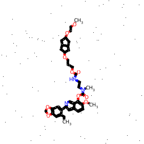 CCc1cc2c(cc1-c1cc3ccc(OC)c(OC(=O)N(C)CCNC(=O)OCCCOC4CC5CC(OCCOC)CC5C4)c3cn1)OCO2